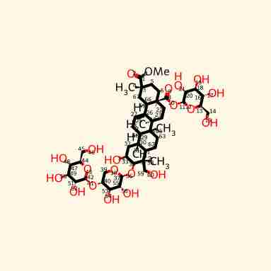 COC(=O)[C@]1(C)CC[C@]2(C(=O)O[C@@H]3O[C@H](CO)[C@@H](O)[C@H](O)[C@H]3O)CC[C@]3(C)C(=CC[C@@H]4[C@@]5(C)C[C@H](O)[C@H](O[C@@H]6OC[C@@H](O[C@@H]7O[C@H](CO)[C@@H](O)[C@H](O)[C@H]7O)[C@H](O)[C@H]6O)[C@@](C)(CO)C5CC[C@]43C)[C@H]2C1